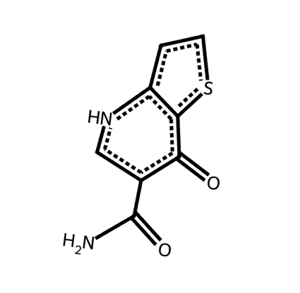 NC(=O)c1c[nH]c2ccsc2c1=O